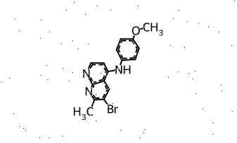 COc1ccc(Nc2ccnc3nc(C)c(Br)cc23)cc1